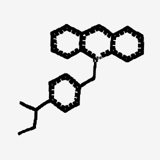 CCC(C)c1ccc(C[n+]2c3ccccc3cc3ccccc32)cc1